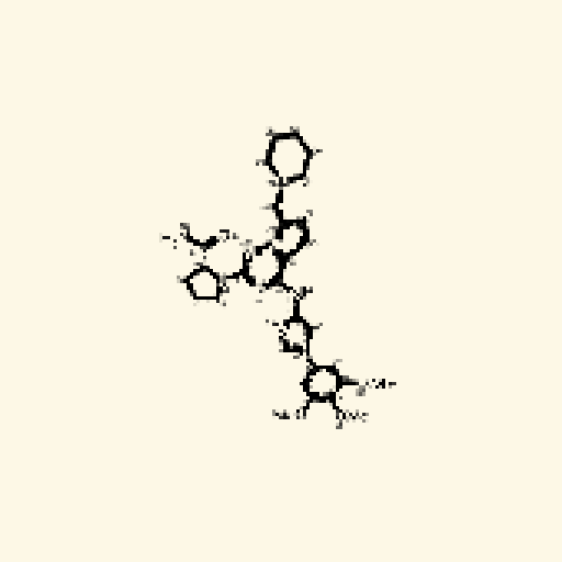 COc1cc(-n2cnc(Nc3nc(N4CCC[C@@H]4C(N)=O)nn4c(CN5CCCCC5)ccc34)c2)cc(OC)c1OC